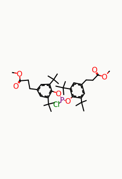 COC(=O)CCc1cc(C(C)(C)C)c(OP(Cl)Oc2c(C(C)(C)C)cc(CCC(=O)OC)cc2C(C)(C)C)c(C(C)(C)C)c1